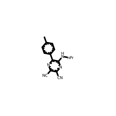 CCCNc1nc(C#N)c(C#N)nc1-c1ccc(C)cc1